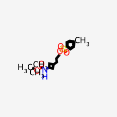 Cc1ccc(S(=O)(=O)OCCCC2CC(NC(=O)OC(C)(C)C)C2)cc1